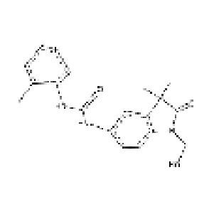 Cc1ccncc1NC(=O)Nc1ccc2c(c1)C(C)(C)C(=O)N2CO